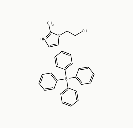 Cc1[nH+]ccn1CCO.c1ccc([B-](c2ccccc2)(c2ccccc2)c2ccccc2)cc1